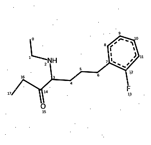 CCNC(CCCc1ccccc1F)C(=O)CC